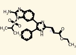 CCOC(=O)/C=C/c1nc(-c2ccc3nc(N)n(S(=O)(=O)C(C)C)c3c2)c(-c2ccccc2)[nH]1